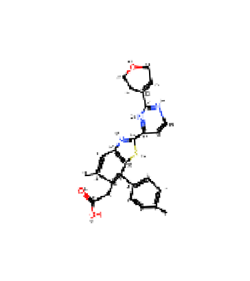 Cc1ccc(-c2c(CC(=O)O)c(C)cc3nc(-c4ccnc(C5=CCOCC5)n4)sc23)cc1